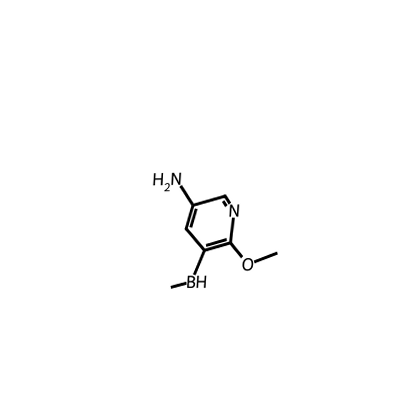 CBc1cc(N)cnc1OC